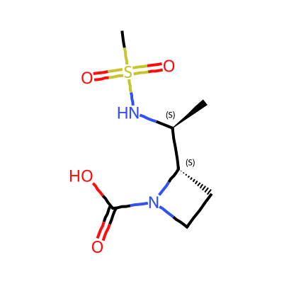 C[C@H](NS(C)(=O)=O)[C@@H]1CCN1C(=O)O